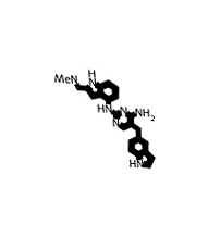 CNCc1cc2c(Nc3ncc(Cc4ccc5[nH]ccc5c4)c(N)n3)cccc2[nH]1